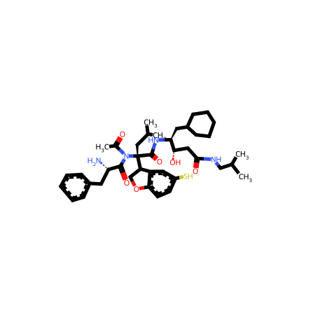 CC(=O)N(C(=O)[C@@H](N)Cc1ccccc1)[C@](CC(C)C)(C(=O)N[C@@H](CC1CCCCC1)[C@@H](O)CC(=O)NCC(C)C)C1COc2ccc(S)cc21